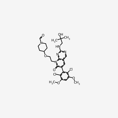 COc1cc(OC)c(Cl)c(-c2cc3cnc(NCC(C)(C)O)nc3n(CCOC3CCN(C=O)CC3)c2=O)c1Cl